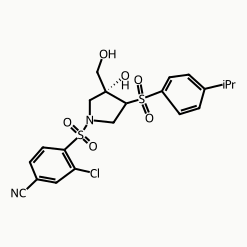 CC(C)c1ccc(S(=O)(=O)C2CN(S(=O)(=O)c3ccc(C#N)cc3Cl)C[C@@]2(O)CO)cc1